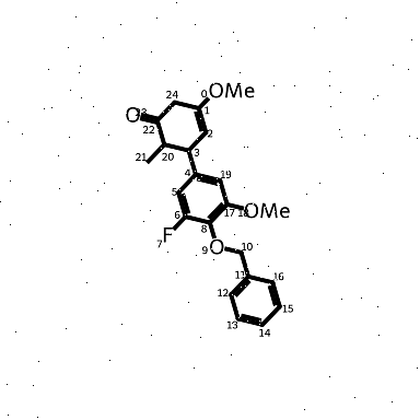 COC1=CC(c2cc(F)c(OCc3ccccc3)c(OC)c2)C(C)C(=O)C1